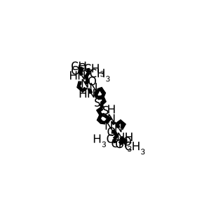 COC(=O)N[C@H](C(=O)N1CCC[C@H]1c1nc2c([nH]1)C1SC(c3cc4ccc5nc([C@@H]6CCCN6C(=O)[C@@H](NC(=O)OC)C(C)C)[nH]c5c4s3)=CC1C=C2)C(C)C